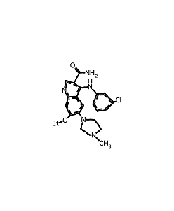 CCOc1cc2ncc(C(N)=O)c(Nc3cccc(Cl)c3)c2cc1N1CCN(C)CC1